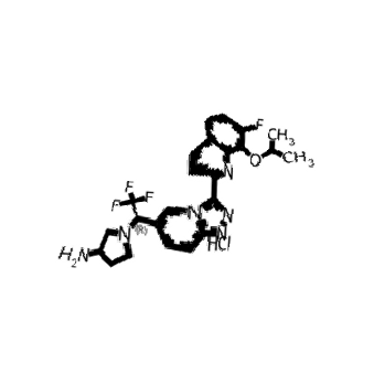 CC(C)Oc1c(F)ccc2ccc(-c3nnc4ccc([C@@H](N5CCC(N)C5)C(F)(F)F)cn34)nc12.Cl